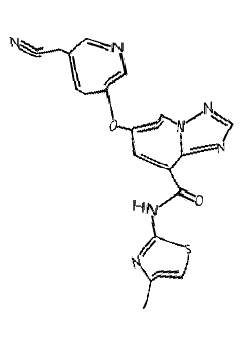 Cc1csc(NC(=O)c2cc(Oc3cncc(C#N)c3)cn3ncnc23)n1